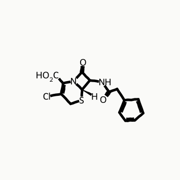 O=C(Cc1ccccc1)NC1C(=O)N2C(C(=O)O)=C(Cl)CS[C@@H]12